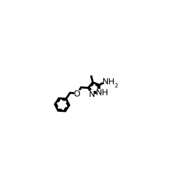 Cc1c(COCc2ccccc2)n[nH]c1N